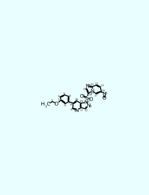 CCOc1cccc(-c2cnc3cnn(S(=O)(=O)c4cnc5ccc(N=O)cn45)c3c2)c1